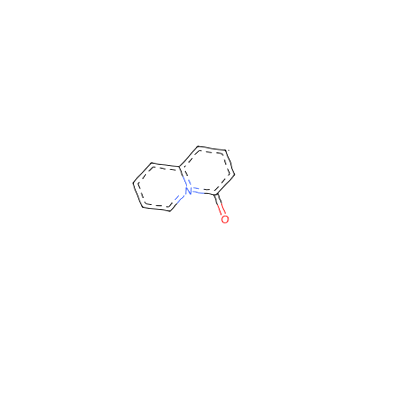 O=c1c[c]cc2ccccn12